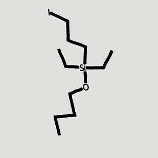 CCCCO[Si](CC)(CC)CCCI